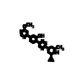 COc1cc(-c2ccc(-c3cnc(N4CC(C5CC5)N[C@H](C)C4)nn3)c(O)c2)ncn1